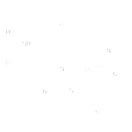 COc1cccc(-n2ccn(CC3CN(c4ncc(C(=O)NO)cn4)CCO3)c2=O)c1